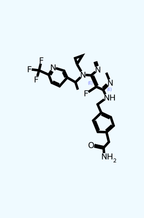 C=N/C(=C(F)\C(=N/C)NCc1ccc(CC(N)=O)cc1)N(C1CC1)C(C)c1ccc(C(F)(F)F)nc1